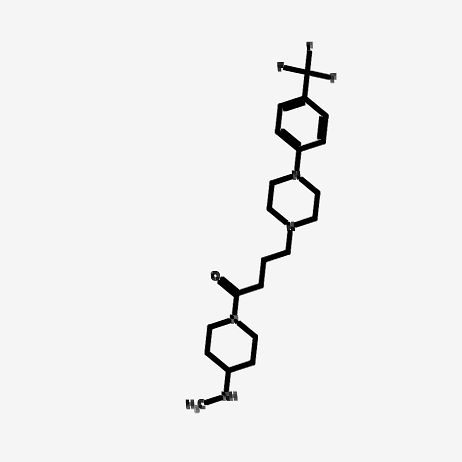 CNC1CCN(C(=O)CCCN2CCN(c3ccc(C(F)(F)F)cc3)CC2)CC1